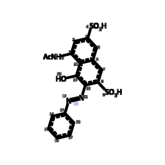 CC(=O)Nc1cc(S(=O)(=O)O)cc2cc(S(=O)(=O)O)c(/N=N/c3ccccc3)c(O)c12